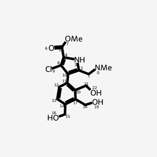 CNCc1[nH]c(C(=O)OC)c(Cl)c1-c1ccc(CO)c(CO)c1CO